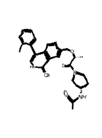 CC(=O)N[C@H]1CCN(C(=O)[C@@H](C)Oc2ccc3c(-c4ccccc4C)c[nH]c(=O)c3c2)C1